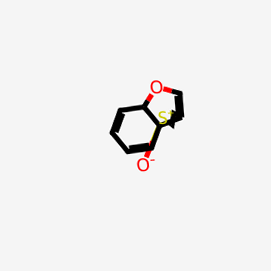 [O-][S+]1CCC2=COC3C=CC=CC231